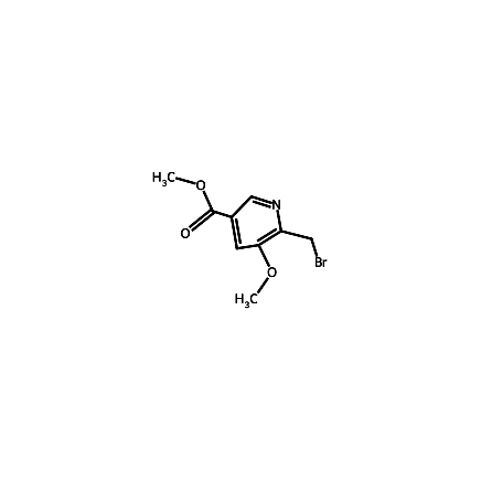 COC(=O)c1cnc(CBr)c(OC)c1